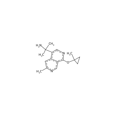 Cc1cc2c(C(C)(C)N)cnc(OC3(C)CC3)c2cn1